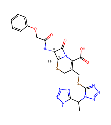 CC(c1nnn[nH]1)n1nnnc1SCC1=C(C(=O)O)N2C(=O)[C@@H](NC(=O)COc3ccccc3)[C@@H]2SC1